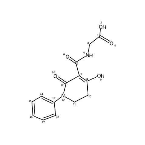 O=C(O)CNC(=O)C1=C(O)CCN(c2ccccc2)C1=O